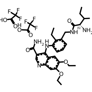 CCOc1cc2ncc(C(N)=O)c(Nc3cccc(CNC(=O)[C@@H](N)C(C)CC)c3CC)c2cc1OCC.O=C(O)C(F)(F)F.O=C(O)C(F)(F)F